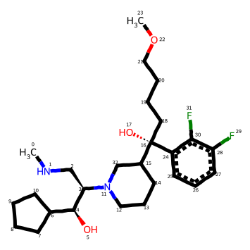 CNC[C@H]([C@@H](O)C1CCCC1)N1CCCC([C@@](O)(CCCCOC)c2cccc(F)c2F)C1